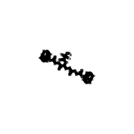 CC(F)(F)C(=O)OC(CCC(=O)OCC(=O)OC12CC3CC(CC(C3)C1)C2)C(=O)OCC(=O)OC12CC3CC(CC(C3)C1)C2